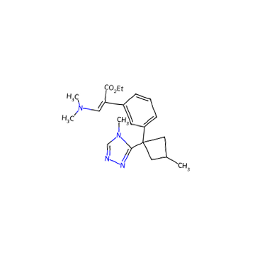 CCOC(=O)C(=CN(C)C)c1cccc(C2(c3nncn3C)CC(C)C2)c1